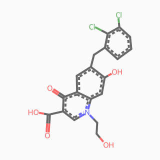 O=C(O)c1cn(CCO)c2cc(O)c(Cc3cccc(Cl)c3Cl)cc2c1=O